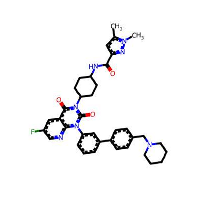 Cc1cc(C(=O)NC2CCC(n3c(=O)c4cc(F)cnc4n(-c4cccc(-c5ccc(CN6CCCCC6)cc5)c4)c3=O)CC2)nn1C